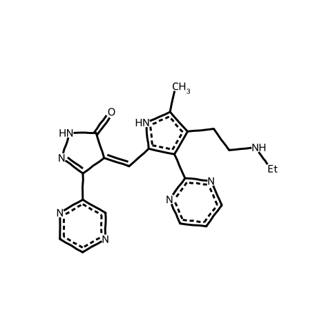 CCNCCc1c(C)[nH]c(C=C2C(=O)NN=C2c2cnccn2)c1-c1ncccn1